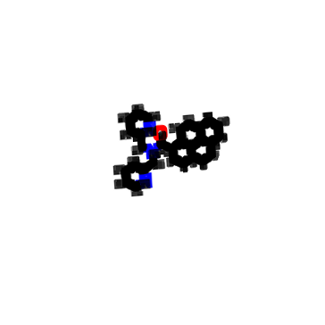 O=C(c1ccc2ccc3cccc4ccc1c2c34)N(Cc1ccccn1)Cc1ccccn1